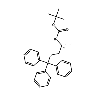 [CH2][C@H](CSC(c1ccccc1)(c1ccccc1)c1ccccc1)NC(=O)OC(C)(C)C